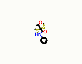 CSC(SC)(C(C)=O)C(=O)Nc1ccccc1